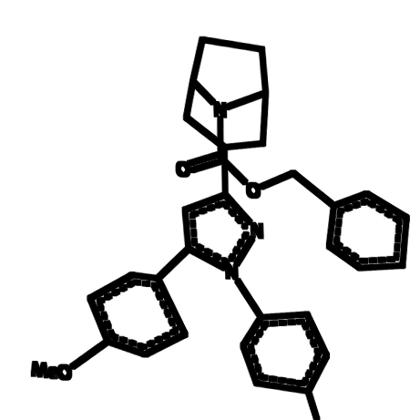 COc1ccc(-c2cc(C3CC4CCC(C3)N4C(=O)OCc3ccccc3)nn2-c2ccc(OC)cc2)cc1